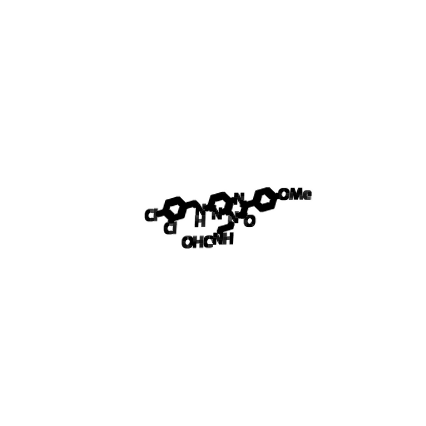 COc1ccc(-c2nc3ccc(NCc4ccc(Cl)c(Cl)c4)nc3n(CCNC=O)c2=O)cc1